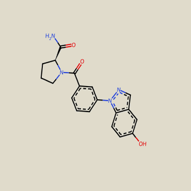 NC(=O)[C@@H]1CCCN1C(=O)c1cccc(-n2ncc3cc(O)ccc32)c1